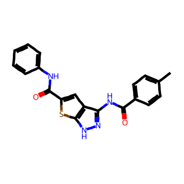 Cc1ccc(C(=O)Nc2n[nH]c3sc(C(=O)Nc4ccccc4)cc23)cc1